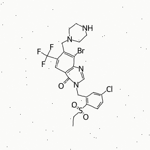 CCS(=O)(=O)c1ccc(Cl)cc1Cn1cnc2c(Br)c(CN3CCNCC3)c(C(F)(F)F)cc2c1=O